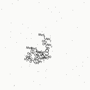 CO.COC(=O)[C@@H](N)CC(C)C.COC(=O)[C@@H](N)Cc1ccccc1.CSCC[C@H](N)C(=O)OC(=O)[C@@H](N)CC(C)C.CSCC[C@H](N)C(=O)OC(=O)[C@@H](N)CC(C)C.CSCC[C@H](N)C(=O)OCC(C)OC(=O)[C@@H](N)CO